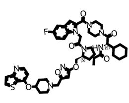 C[CH]C(=O)N[C@H](C(=O)N1CCN(C(=O)c2cc3cc(F)ccc3n2CC(=O)N2CCC[C@H]2COc2cc(CN3CCC(Oc4ccnc5ccsc45)CC3)on2)CC1)C1CCCCC1